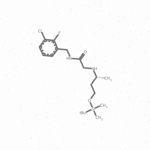 C[C@H](CCO[Si](C)(C)C(C)(C)C)NCC(=O)NCc1cccc(Cl)c1F